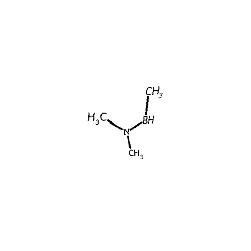 CBN(C)C